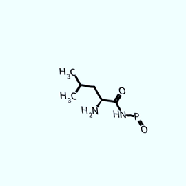 CC(C)C[C@H](N)C(=O)NP=O